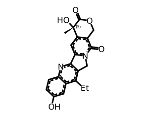 CCc1c2c(nc3ccc(O)cc13)-c1cc3c(c(=O)n1C2)COC(=O)[C@@]3(C)O